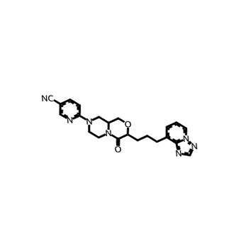 N#Cc1ccc(N2CCN3C(=O)C(CCCc4cccn5ncnc45)OCC3C2)nc1